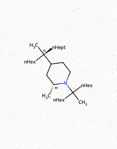 CCCCCCC[C@](C)(CCCCCC)C1CCN(C(C)(CCCCCC)CCCCCC)[C@H](C)C1